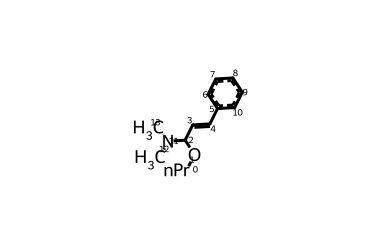 CCCOC(C=Cc1ccccc1)N(C)C